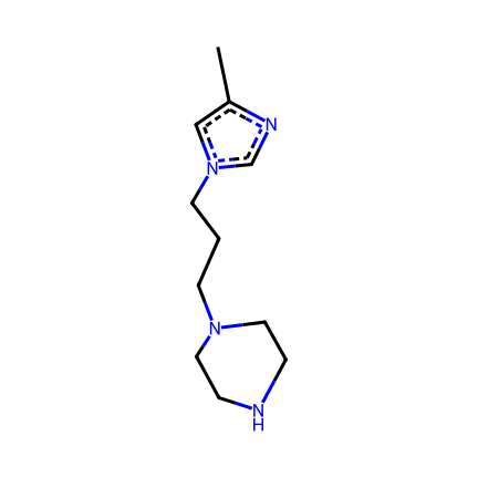 Cc1cn(CCCN2CCNCC2)cn1